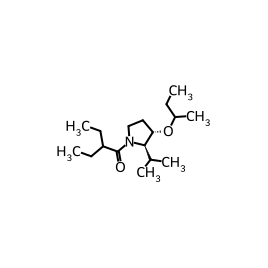 CCC(C)O[C@H]1CCN(C(=O)C(CC)CC)[C@@H]1C(C)C